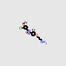 CCc1cc(OCCCCN)ccc1-c1noc(-c2ccc(OC(C)C)c(Cl)c2)n1